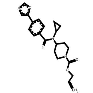 C=CCOC(=O)N1CCC(N(C(=O)c2ccc(-c3cnco3)cc2)C2CC2)CC1